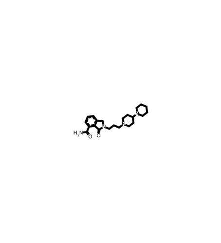 NC(=O)c1cccc2c1C(=O)N(CCCN1CCC(N3CCCCC3)CC1)C2